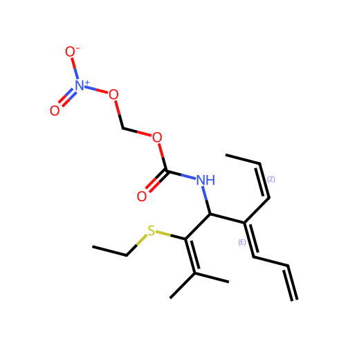 C=C/C=C(\C=C/C)C(NC(=O)OCO[N+](=O)[O-])C(SCC)=C(C)C